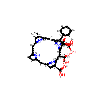 O=C(O)C1=Cc2cc3ccc(cc4nc(cc5c(-c6ccccc6)c(C(=O)O)c(c(C(=O)O)c1n2)n5C(=O)O)C=C4)[nH]3.[Pd]